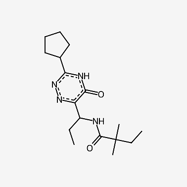 CCC(NC(=O)C(C)(C)CC)c1nnc(C2CCCC2)[nH]c1=O